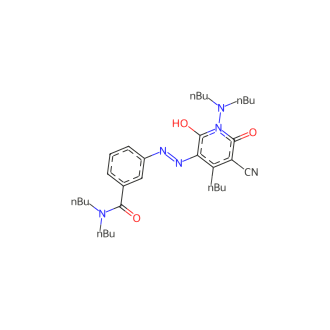 CCCCc1c(/N=N/c2cccc(C(=O)N(CCCC)CCCC)c2)c(O)n(N(CCCC)CCCC)c(=O)c1C#N